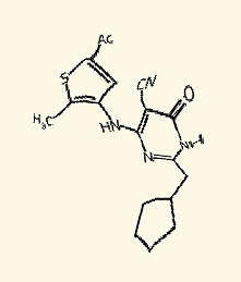 CC(=O)c1cc(Nc2nc(CC3CCCC3)[nH]c(=O)c2C#N)c(C)s1